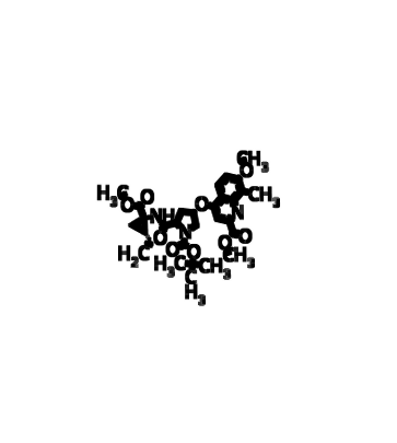 C=C[C@@H]1C[C@]1(NC(=O)C1C[C@@H](Oc2cc(C(=O)OC)nc3c(C)c(OC)ccc23)CN1C(=O)OC(C)(C)C)C(=O)OC